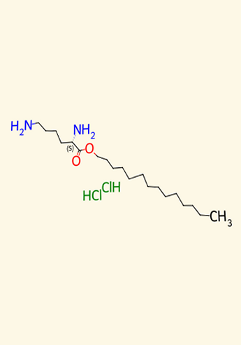 CCCCCCCCCCCCCCOC(=O)[C@@H](N)CCCCN.Cl.Cl